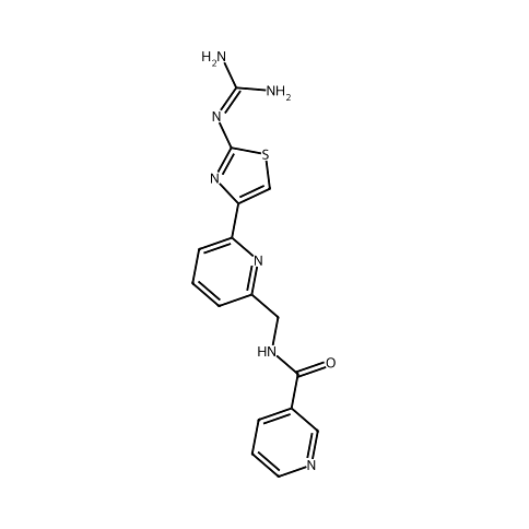 NC(N)=Nc1nc(-c2cccc(CNC(=O)c3cccnc3)n2)cs1